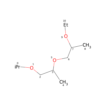 [CH2]C(C)OCC(C)OCC(C)OCC